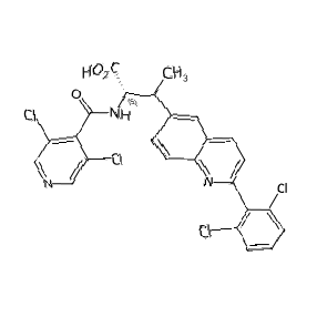 CC(c1ccc2nc(-c3c(Cl)cccc3Cl)ccc2c1)[C@H](NC(=O)c1c(Cl)cncc1Cl)C(=O)O